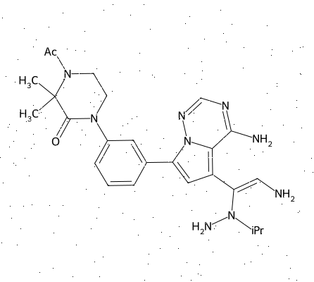 CC(=O)N1CCN(c2cccc(-c3cc(/C(=C/N)N(N)C(C)C)c4c(N)ncnn34)c2)C(=O)C1(C)C